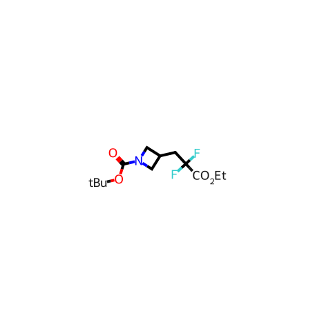 CCOC(=O)C(F)(F)CC1CN(C(=O)OC(C)(C)C)C1